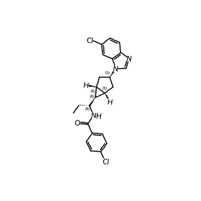 CC[C@@H](NC(=O)c1ccc(Cl)cc1)[C@H]1[C@@H]2C[C@@H](n3cnc4ccc(Cl)cc43)C[C@@H]21